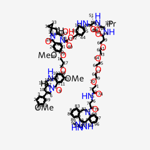 COc1ccc(C2=CN3C(=O)c4cc(OC)c(OCCCOc5cc6c(cc5OC)C(=O)N5CC7(CC7)C[C@H]5C(O)N6C(=O)OCc5ccc(NC(=O)[C@H](C)NC(=O)[C@@H](NC(=O)CCOCCOCCOCCOCCC(=O)NCCC(=O)N6Cc7ccccc7C7=C(NNN7C)c7ccccc76)C(C)C)cc5)cc4NC[C@@H]3C2)cc1